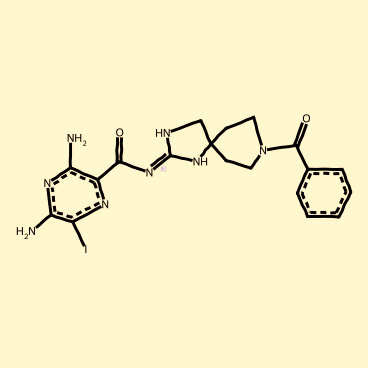 Nc1nc(N)c(C(=O)/N=C2\NCC3(CCN(C(=O)c4ccccc4)CC3)N2)nc1I